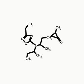 CC1CC1=O.CCc1noc(N(C(C)CC)C(C)CC)n1